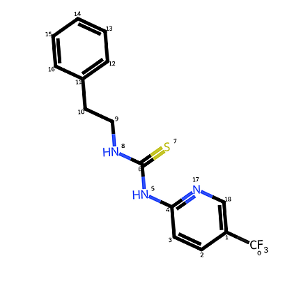 FC(F)(F)c1ccc(NC(=S)NCCc2ccccc2)nc1